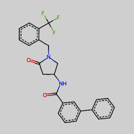 O=C(NC1CC(=O)N(Cc2ccccc2C(F)(F)F)C1)c1cccc(-c2ccccc2)c1